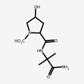 CC(C)(NC(=O)C1CC(O)CN1C(=O)O)C(N)=O